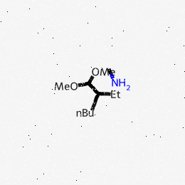 CCCCC(CC)C(OC)OC.CN